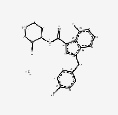 Cl.O=C(NC1CCNCC1F)c1cn(Cc2ccc(F)cc2)c2cccc(F)c12